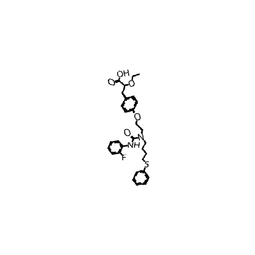 CCOC(Cc1ccc(OCCN(CCCCSc2ccccc2)C(=O)Nc2ccccc2F)cc1)C(=O)O